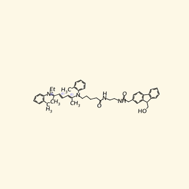 CC\[N+](=C(C)/C=C/C=C(\C)N(CCCCC(=O)NCCNC(=O)Cc1ccc2c(c1)C(CO)c1ccccc1-2)c1ccccc1C)c1ccccc1C